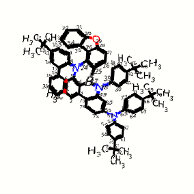 Cc1cc2c3c(c1)N(c1ccc(C(C)(C)C)cc1-c1ccccc1)c1c(ccc4oc5ccccc5c14)B3N(c1ccc(C(C)(C)C)cc1)c1cc(N(c3ccc(C(C)(C)C)cc3)c3ccc(C(C)(C)C)cc3)ccc1-2